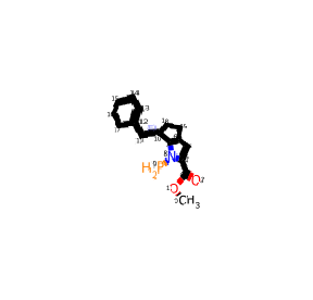 COC(=O)c1cc2c(n1P)/C(=C/c1ccccc1)CC2